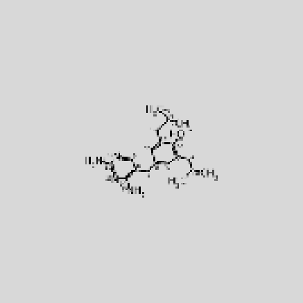 CC(C)Cc1cc(Cc2cnc(N)nc2N)cc(CC(C)C)c1O